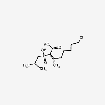 CC(CCCCCCl)=C(C(=O)O)P(=O)(O)CC(C)C